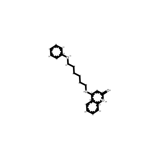 O=c1cc(OCCCCCCOc2ccccc2)c2ccccc2o1